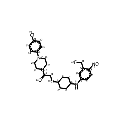 O=Nc1ccc(NC2CCC(OCC(=O)N3CCN(c4ccc(Cl)cc4)CC3)CC2)cc1CF